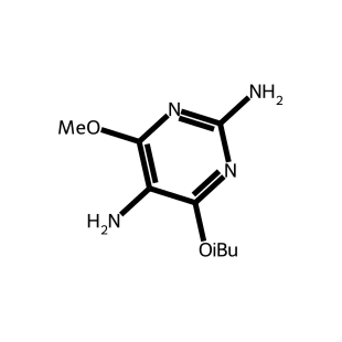 COc1nc(N)nc(OCC(C)C)c1N